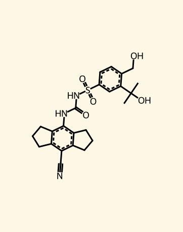 CC(C)(O)c1cc(S(=O)(=O)NC(=O)Nc2c3c(c(C#N)c4c2CCC4)CCC3)ccc1CO